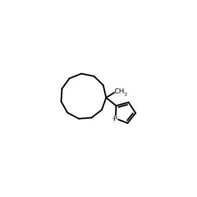 CC1(C2=CC=C[P]2)CCCCCCCCCC1